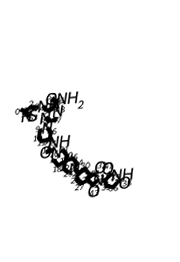 Cc1cc(Nc2nc(N3CCC[C@@H](NC(=O)N4CCC5(CC4)CCN(c4ccc6c(c4)C(=O)N(C4CCC(=O)NC4=O)C6=O)CC5)C3)cnc2C(N)=O)sn1